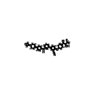 N#Cc1cc(-c2ccnc(Nc3ccc(N4CCN(C5COC5)CC4)cn3)n2)ccc1OC1CCN(C(=O)[C@H](O)C(F)F)CC1